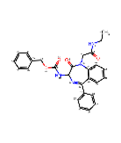 CCNC(=O)CN1C(=O)C(NC(=O)OCc2ccccc2)N=C(c2ccccc2)c2ccccc21